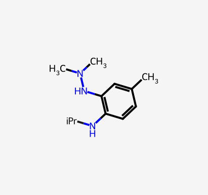 Cc1ccc(NC(C)C)c(NN(C)C)c1